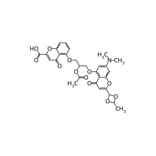 CC(=O)OC(COc1cccc2oc(C(=O)O)cc(=O)c12)COc1cc(N(C)C)cc2oc(C3OC(C)O3)cc(=O)c12